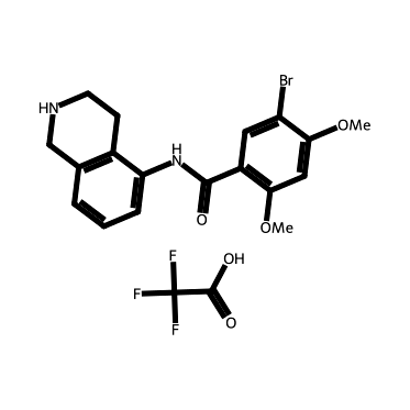 COc1cc(OC)c(C(=O)Nc2cccc3c2CCNC3)cc1Br.O=C(O)C(F)(F)F